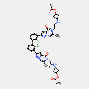 CC(=O)OC1CC(NCCN(C)/C(C)=C\n2nc(-c3cccc(-c4cccc(-c5cc6c(=O)n(CCNC7CC(OC(C)=O)C7)c(C)cn6n5)c4Cl)c3Cl)cc2C=O)C1